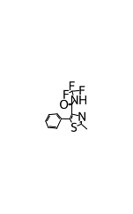 Cc1nc(C(=O)NC(F)(F)F)c(-c2ccccc2)s1